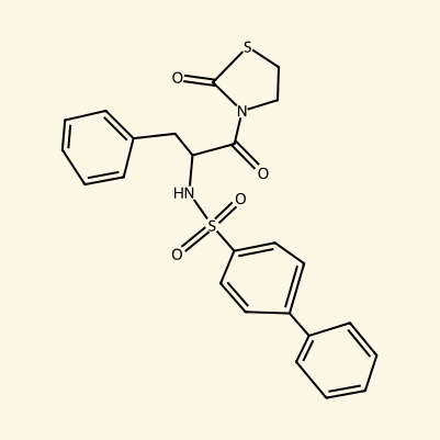 O=C1SCCN1C(=O)C(Cc1ccccc1)NS(=O)(=O)c1ccc(-c2ccccc2)cc1